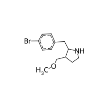 COCC1CCNC1Cc1ccc(Br)cc1